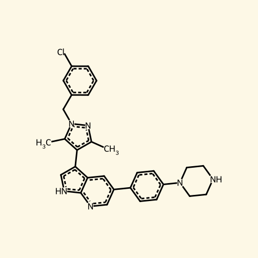 Cc1nn(Cc2cccc(Cl)c2)c(C)c1-c1c[nH]c2ncc(-c3ccc(N4CCNCC4)cc3)cc12